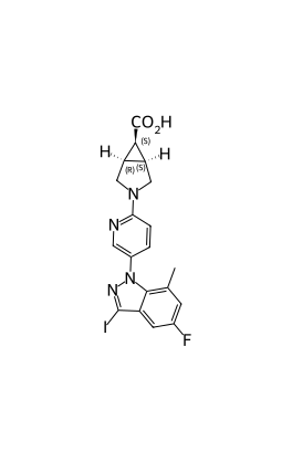 Cc1cc(F)cc2c(I)nn(-c3ccc(N4C[C@@H]5[C@H](C4)[C@@H]5C(=O)O)nc3)c12